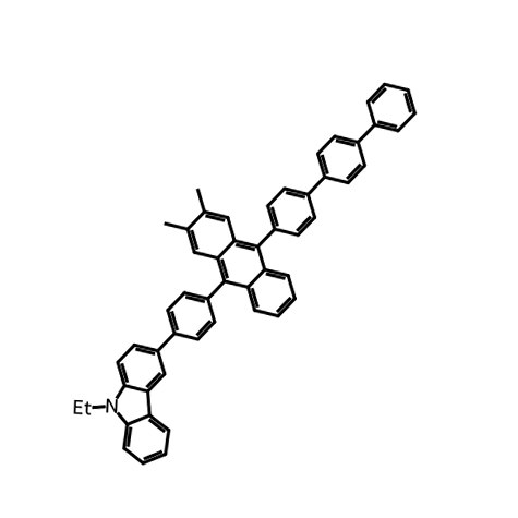 CCn1c2ccccc2c2cc(-c3ccc(-c4c5ccccc5c(-c5ccc(-c6ccc(-c7ccccc7)cc6)cc5)c5cc(C)c(C)cc45)cc3)ccc21